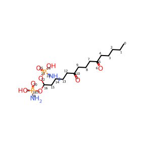 CCCCCC(=O)CCCC(=O)CCCCC(OP(N)(=O)O)OP(N)(=O)O